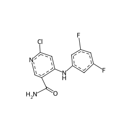 NC(=O)c1cnc(Cl)cc1Nc1cc(F)cc(F)c1